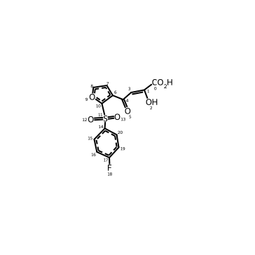 O=C(O)C(O)=CC(=O)c1ccoc1S(=O)(=O)c1ccc(F)cc1